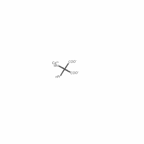 CCCC(C(=O)[O-])(C(=O)[O-])C(C)(C)C.[Ca+2]